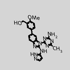 COc1ccc(-c2ccc3nc(Nc4ccn[nH]4)n(-c4nc(C)nc(N)n4)c3c2)cc1CO